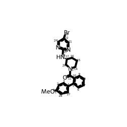 COc1ccc(-c2ccccc2C(=O)N2CCC[C@@H](Nc3ncc(Br)cn3)C2)cc1